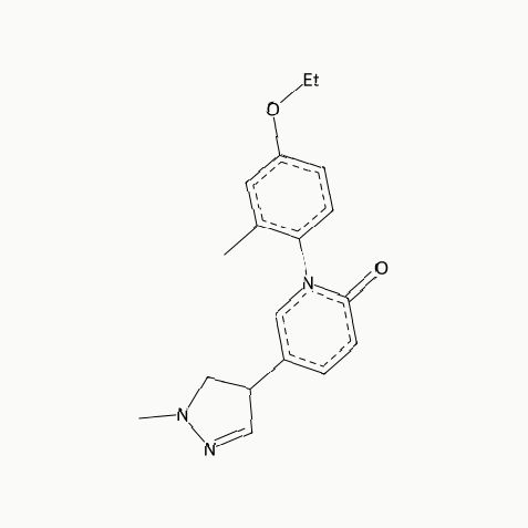 CCOc1ccc(-n2cc(C3C=NN(C)C3)ccc2=O)c(C)c1